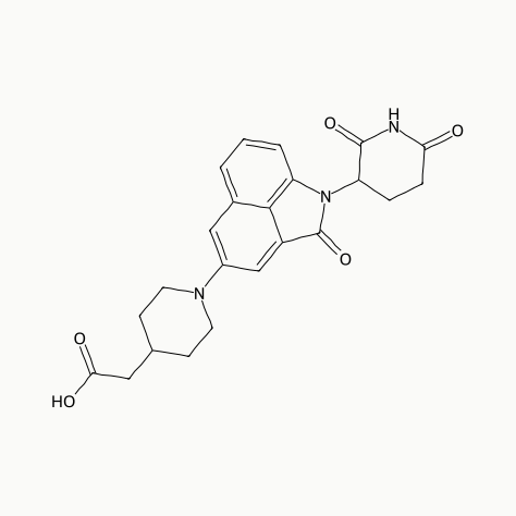 O=C(O)CC1CCN(c2cc3c4c(cccc4c2)N(C2CCC(=O)NC2=O)C3=O)CC1